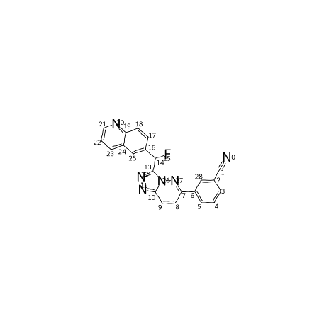 N#Cc1cccc(-c2ccc3nnc(C(F)c4ccc5ncccc5c4)n3n2)c1